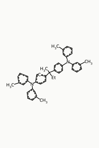 CCC(C)(c1ccc(N(c2cccc(C)c2)c2cccc(C)c2)cc1)c1ccc(N(c2cccc(C)c2)c2cccc(C)c2)cc1